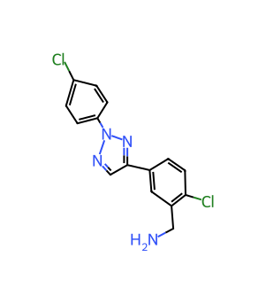 NCc1cc(-c2cnn(-c3ccc(Cl)cc3)n2)ccc1Cl